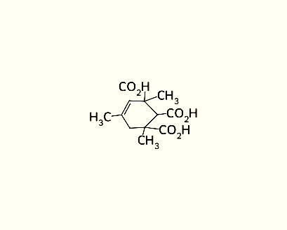 CC1=CC(C)(C(=O)O)C(C(=O)O)C(C)(C(=O)O)C1